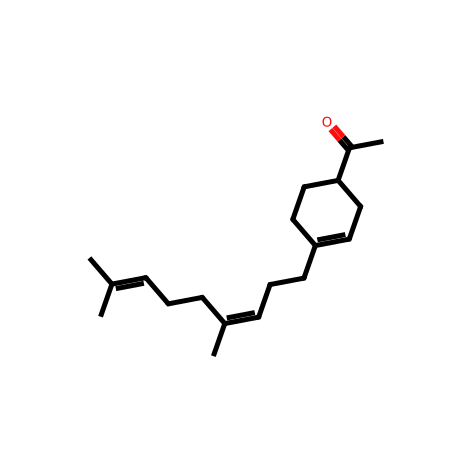 CC(=O)C1CC=C(CCC=C(C)CCC=C(C)C)CC1